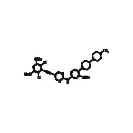 COc1cc(Nc2ncc(C#Cc3c(Cl)c(OC)cc(OC)c3Cl)cn2)ccc1N1CCC(N2CCN(C)CC2)CC1